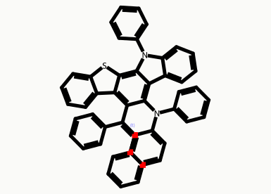 C(=C(/c1ccccc1)c1c(N(c2ccccc2)c2ccccc2)c2c3ccccc3n(-c3ccccc3)c2c2sc3ccccc3c12)/c1ccccc1